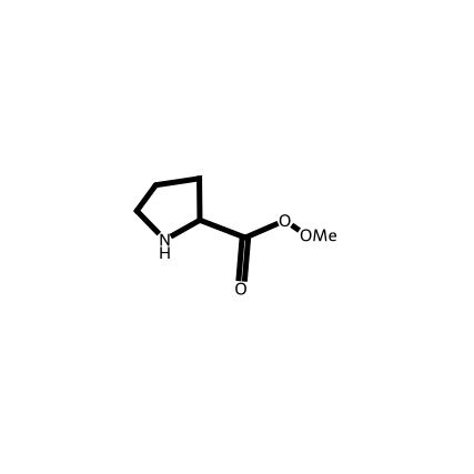 COOC(=O)C1CCCN1